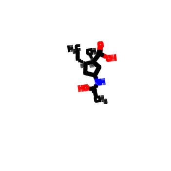 CC[C@H]1CC(NB(C)O)C[C@]1(C)C(=O)O